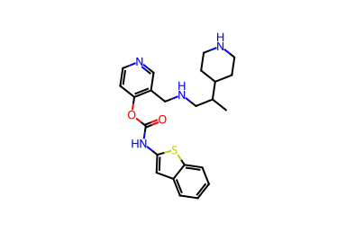 CC(CNCc1cnccc1OC(=O)Nc1cc2ccccc2s1)C1CCNCC1